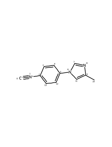 [C-]#[N+]c1ccc(-n2cnc(C)c2)cc1